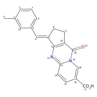 Cc1cccc(C=C2CCc3c2nc2ccc(C(=O)O)cn2c3=O)c1